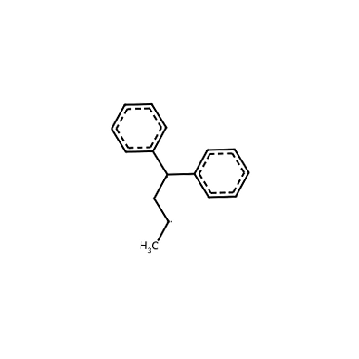 C[CH]C[C](c1ccccc1)c1ccccc1